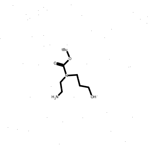 CC(C)(C)OC(=O)N(CCN)CCCO